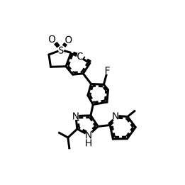 Cc1cccc(-c2[nH]c(C(C)C)nc2-c2ccc(F)c(-c3ccc4c(c3)CCS4(=O)=O)c2)n1